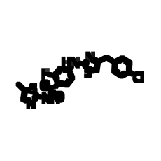 Cc1cnc(NS(=O)(=O)c2ccc(Nc3nc(Cc4ccc(Cl)cc4)cs3)cc2F)s1